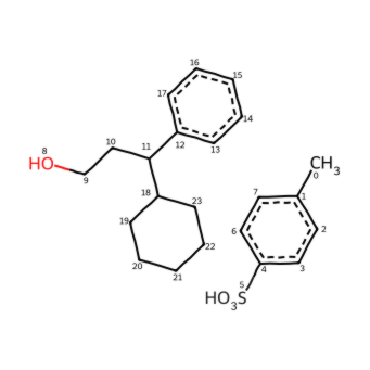 Cc1ccc(S(=O)(=O)O)cc1.OCCC(c1ccccc1)C1CCCCC1